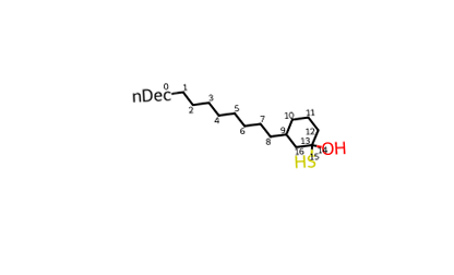 CCCCCCCCCCCCCCCCCCC1CCCC(O)(S)C1